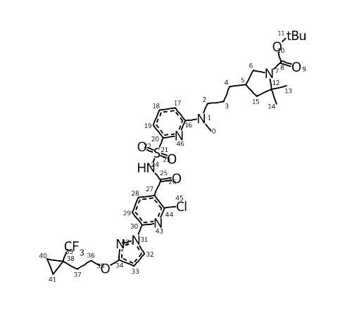 CN(CCCC1CN(C(=O)OC(C)(C)C)C(C)(C)C1)c1cccc(S(=O)(=O)NC(=O)c2ccc(-n3ccc(OCCC4(C(F)(F)F)CC4)n3)nc2Cl)n1